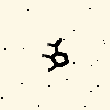 O=C(F)c1cccc(F)c1Br